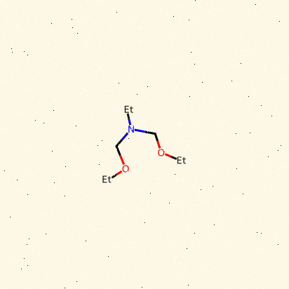 [CH2]CN(COCC)COCC